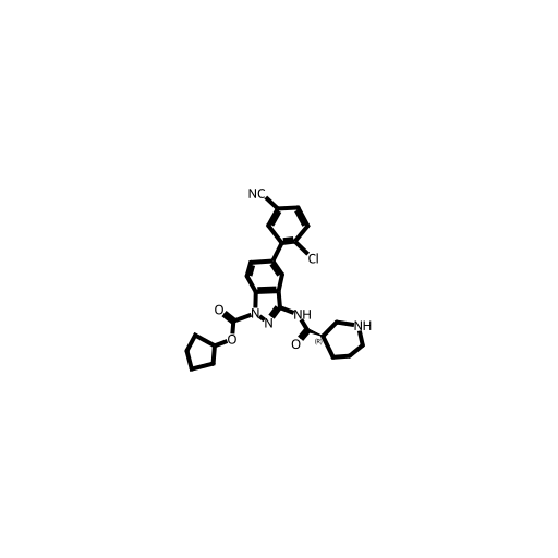 N#Cc1ccc(Cl)c(-c2ccc3c(c2)c(NC(=O)[C@@H]2CCCNC2)nn3C(=O)OC2CCCC2)c1